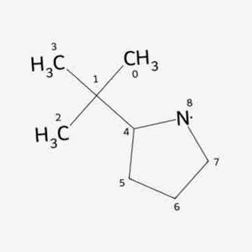 CC(C)(C)C1CCC[N]1